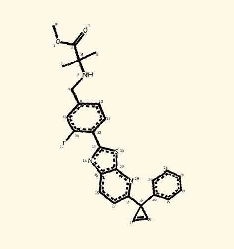 COC(=O)C(C)(C)NCc1ccc(-c2nc3ccc(C4(c5ccccc5)C=C4)nc3s2)c(F)c1